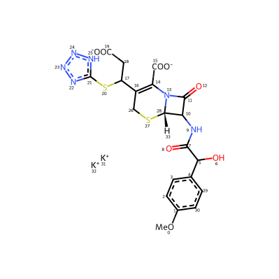 COc1ccc(C(O)C(=O)NC2C(=O)N3C(C(=O)[O-])=C(C(CC(=O)[O-])Sc4nnn[nH]4)CS[C@@H]23)cc1.[K+].[K+]